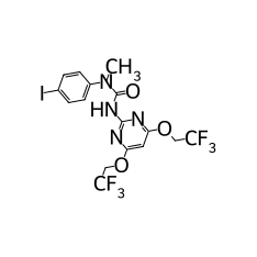 CN(C(=O)Nc1nc(OCC(F)(F)F)cc(OCC(F)(F)F)n1)c1ccc(I)cc1